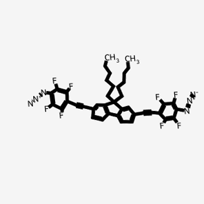 CCCCCCC1(CCCCCC)c2cc(C#Cc3c(F)c(F)c(N=[N+]=[N-])c(F)c3F)ccc2-c2ccc(C#Cc3c(F)c(F)c(N=[N+]=[N-])c(F)c3F)cc21